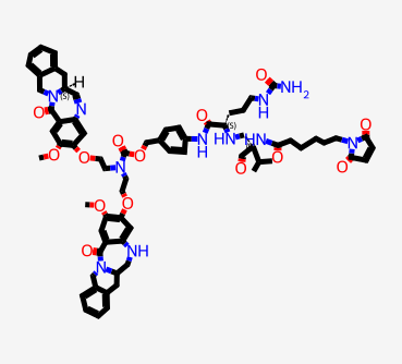 COc1cc2c(cc1OCCN(CCOc1cc3c(cc1OC)C(=O)N1Cc4ccccc4CC1CN3)C(=O)OCc1ccc(NC(=O)[C@H](CCCNC(N)=O)NC[C@](C=O)(NC(=O)CCCCCN3C(=O)C=CC3=O)C(C)C)cc1)N=C[C@@H]1Cc3ccccc3CN1C2=O